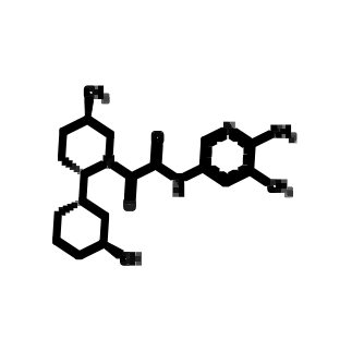 Cc1cc(NC(=O)C(=O)N2C[C@H](C)CC[C@H]2[C@H]2CCC[C@H](O)C2)cnc1N